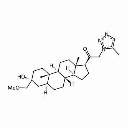 COC[C@@]1(O)CC[C@@]2(C)[C@@H](CC[C@@H]3[C@@H]2CC[C@]2(C)[C@@H](C(=O)Cn4nncc4C)CC[C@@H]32)C1